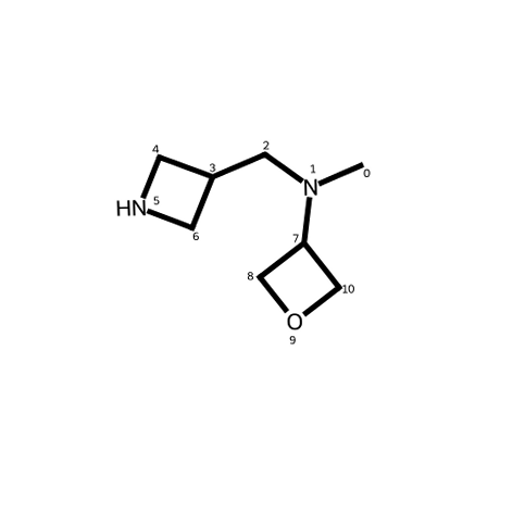 CN(CC1CNC1)C1COC1